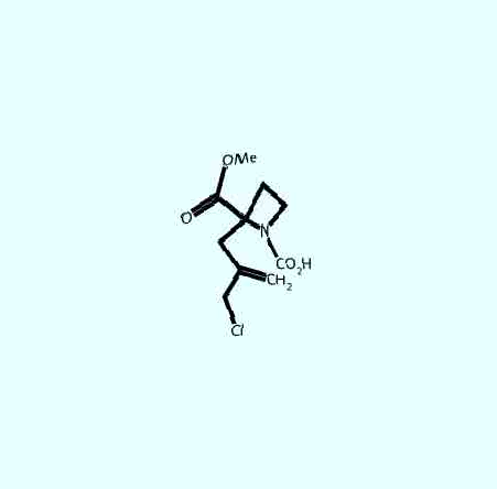 C=C(CCl)CC1(C(=O)OC)CCN1C(=O)O